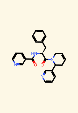 O=C(N[C@@H](Cc1ccccc1)C(=O)N1CC=CCC1c1cccnc1)c1cccnc1